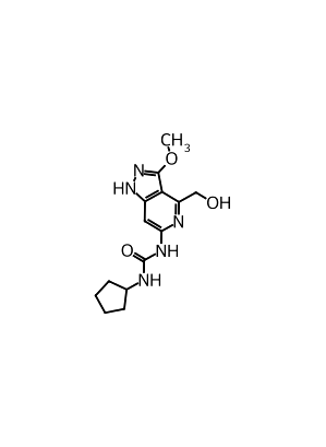 COc1n[nH]c2cc(NC(=O)NC3CCCC3)nc(CO)c12